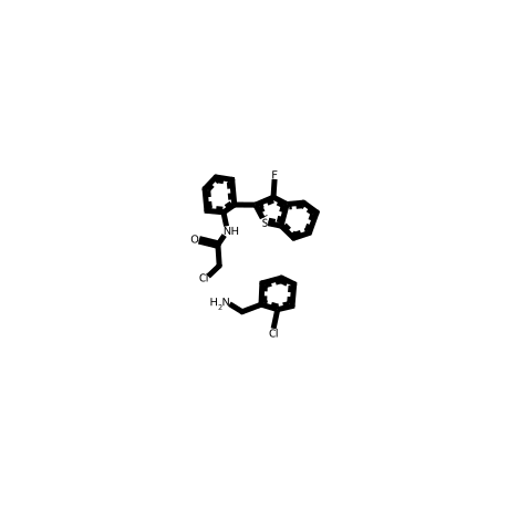 NCc1ccccc1Cl.O=C(CCl)Nc1ccccc1-c1sc2ccccc2c1F